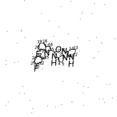 O=C(NC1=CCn2c1nc1c2NCCC1)c1cc2cccc(F)c2n1Cc1cccc(F)c1